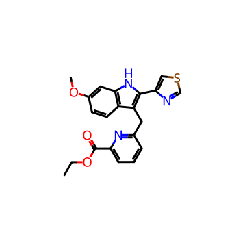 CCOC(=O)c1cccc(Cc2c(-c3cscn3)[nH]c3cc(OC)ccc23)n1